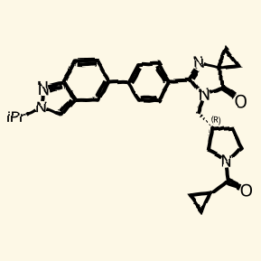 CC(C)n1cc2cc(-c3ccc(C4=NC5(CC5)C(=O)N4C[C@@H]4CCN(C(=O)C5CC5)C4)cc3)ccc2n1